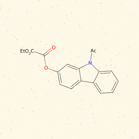 CCOC(=O)C(=O)Oc1ccc2c3ccccc3n(C(C)=O)c2c1